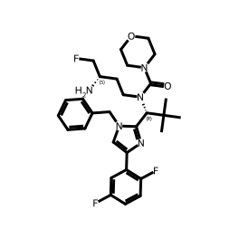 CC(C)(C)[C@H](c1nc(-c2cc(F)ccc2F)cn1Cc1ccccc1)N(CC[C@H](N)CF)C(=O)N1CCOCC1